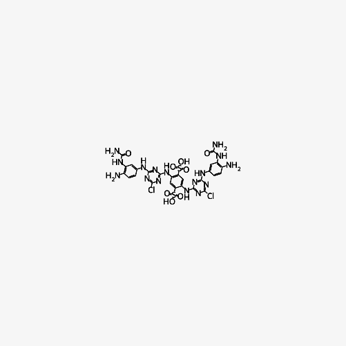 NC(=O)Nc1cc(Nc2nc(Cl)nc(Nc3cc(S(=O)(=O)O)c(Nc4nc(Cl)nc(Nc5ccc(N)c(NC(N)=O)c5)n4)cc3S(=O)(=O)O)n2)ccc1N